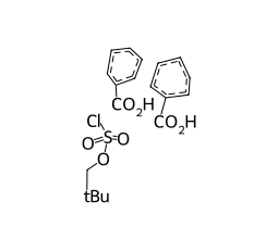 CC(C)(C)COS(=O)(=O)Cl.O=C(O)c1ccccc1.O=C(O)c1ccccc1